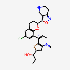 C=Nc1cc(C(O)CC)sc1/C(=C\C)c1cc(Cl)cc2c1OC(c1onc3c1CNCC3)CC2